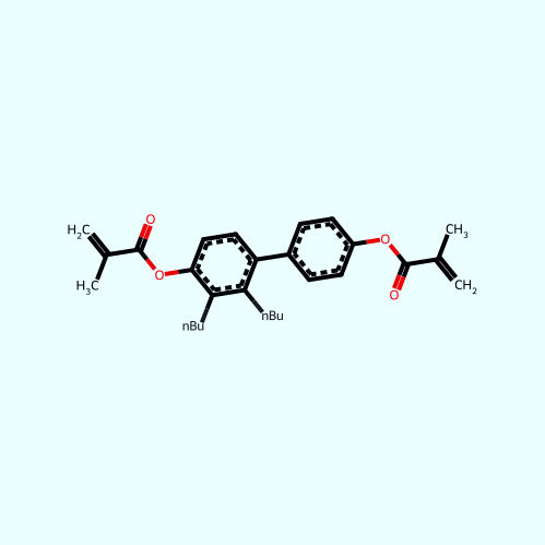 C=C(C)C(=O)Oc1ccc(-c2ccc(OC(=O)C(=C)C)c(CCCC)c2CCCC)cc1